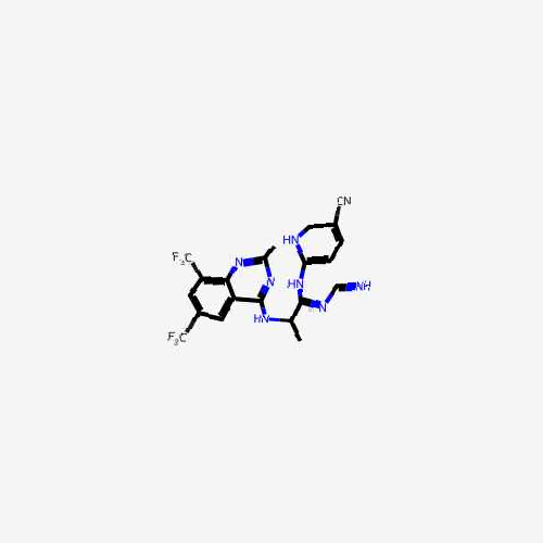 Cc1nc(NC(C)/C(=N/C=N)NC2=CC=C(C#N)CN2)c2cc(C(F)(F)F)cc(C(F)(F)F)c2n1